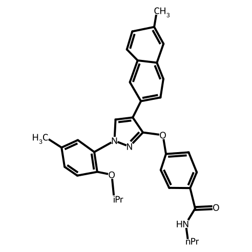 CCCNC(=O)c1ccc(Oc2nn(-c3cc(C)ccc3OC(C)C)cc2-c2ccc3cc(C)ccc3c2)cc1